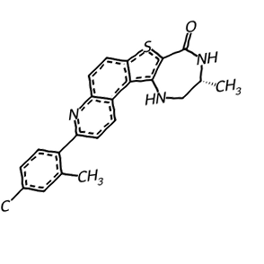 Cc1ccc(-c2ccc3c(ccc4sc5c(c43)NC[C@@H](C)NC5=O)n2)c(C)c1